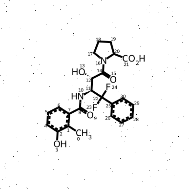 Cc1c(O)cccc1C(=O)N[C@@H]([C@H](O)C(=O)N1CCCC1C(=O)O)C(F)(F)c1ccccc1